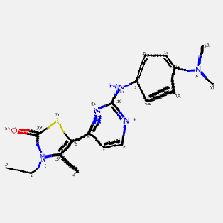 CCn1c(C)c(-c2ccnc(Nc3ccc(N(C)C)cc3)n2)sc1=O